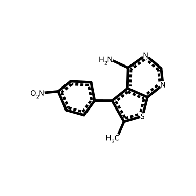 Cc1sc2ncnc(N)c2c1-c1ccc([N+](=O)[O-])cc1